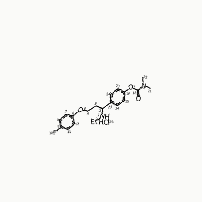 CCNC(CCOc1ccc(F)cc1)c1ccc(OC(=O)N(C)C)cc1.Cl